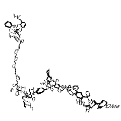 C#Cc1ccccc1CN(C(=O)CCNC(=O)CCOCCOCCOCCOCCC(=O)N[C@H](C(=O)N[C@@H](C)C(=O)Nc1ccc(COC(=O)N2c3cc(OCCCOc4cc5c(cc4OC)C(=O)N4C=C(c6ccc(OC)cc6)C[C@H]4CN5)c(OC)cc3C(=O)N3CC4(CC4)C[C@H]3[C@@H]2O)cc1)C(C)C)c1ccccc1C